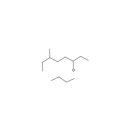 CCC(C)CCC([O])CC.CCCC